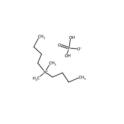 CCCC[N+](C)(C)CCCC.O=P([O-])(O)O